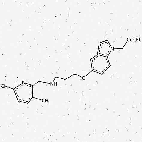 CCOC(=O)Cn1ccc2cc(OCCCNCc3nc(Cl)ncc3C)ccc21